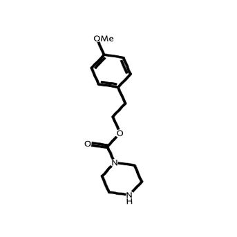 COc1ccc(CCOC(=O)N2CCNCC2)cc1